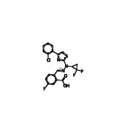 O=C(O)c1cc(F)ccc1/C=N/N(c1nc(-c2ccccc2Cl)cs1)C1CC1(F)F